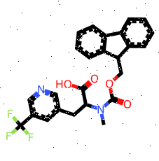 CN(C(=O)OCC1c2ccccc2-c2ccccc21)C(Cc1cncc(C(F)(F)F)c1)C(=O)O